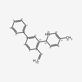 C=Cc1ccc(-c2ccccc2)cc1C1C=CC(C)=CN1